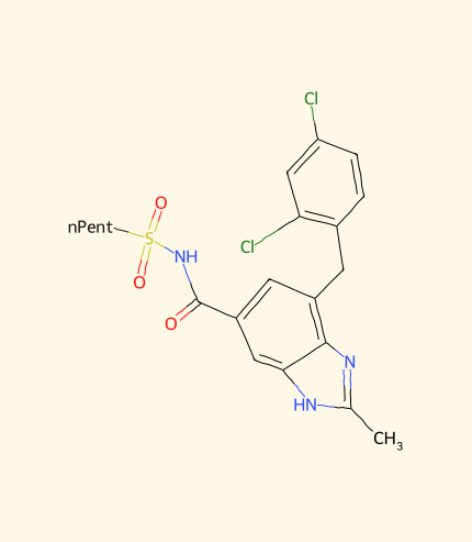 CCCCCS(=O)(=O)NC(=O)c1cc(Cc2ccc(Cl)cc2Cl)c2nc(C)[nH]c2c1